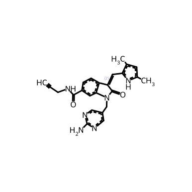 C#CCNC(=O)c1ccc2c(c1)N(Cc1cnc(N)nc1)C(=O)/C2=C\c1[nH]c(C)cc1C